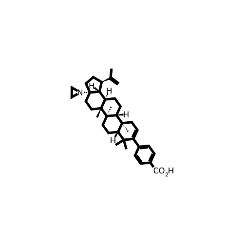 C=C(C)[C@@H]1CC[C@]2(N3CC3)CC[C@]3(C)[C@H](CC[C@@H]4[C@@]5(C)CC=C(c6ccc(C(=O)O)cc6)C(C)(C)[C@@H]5CC[C@]43C)[C@@H]12